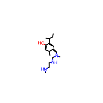 C/C=C(\C(O)=C/C(C)/C=C\N(C)CNCCNC)C(C)CC